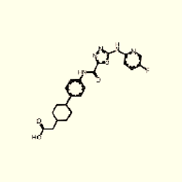 O=C(O)CC1CCC(c2ccc(NC(=O)c3nnc(Nc4ccc(F)cn4)o3)cc2)CC1